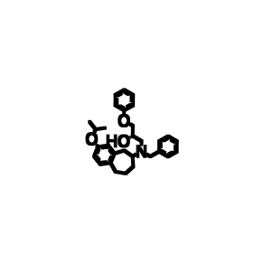 CC(C)Oc1ccc2c(c1)CC(N(Cc1ccccc1)C[C@H](O)COc1ccccc1)CCC2